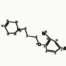 Brc1ccc(OCCCN2CC=CCC2)c(Br)c1